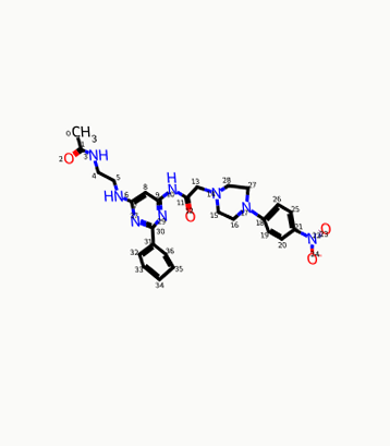 CC(=O)NCCNc1cc(NC(=O)CN2CCN(c3ccc([N+](=O)[O-])cc3)CC2)nc(-c2ccccc2)n1